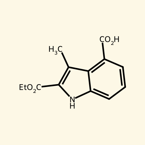 CCOC(=O)c1[nH]c2cccc(C(=O)O)c2c1C